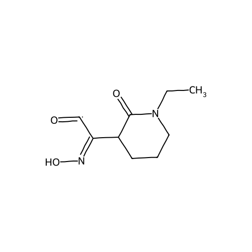 CCN1CCCC(C([C]=O)=NO)C1=O